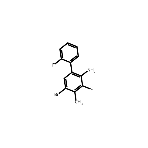 Cc1c(Br)cc(-c2ccccc2F)c(N)c1F